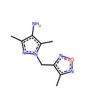 Cc1nonc1Cn1nc(C)c(N)c1C